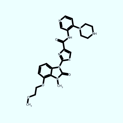 COCCOc1cccc2c1n(C)c(=O)n2-c1nc(C(=O)Nc2cnccc2N2CCNCC2)cs1